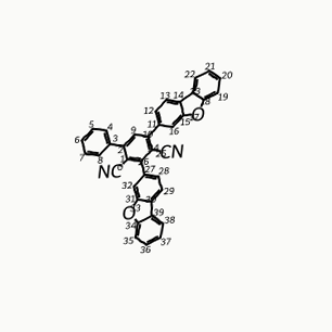 N#Cc1c(-c2ccccc2)cc(-c2ccc3c(c2)oc2ccccc23)c(C#N)c1-c1ccc2c(c1)oc1ccccc12